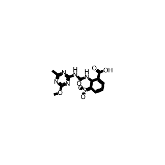 COc1nc(C)nc(NC(=O)NC2C(C(=O)O)=CC=CC2=S(=O)=O)n1